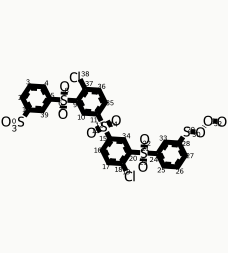 O=S(=O)(O)c1cccc(S(=O)(=O)c2cc(S(=O)(=O)c3ccc(Cl)c(S(=O)(=O)c4cccc(SOOO)c4)c3)ccc2Cl)c1